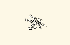 CC1C(O)OC(COC(=O)c2ccccc2)C(OC2OC(COC(=O)c3ccccc3)C(C)C(C)C2C)C1C